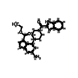 CCOC(=O)c1csc2nc(N)nc(N3CCN(C(=O)c4nc5ccccc5[nH]4)CC3)c12